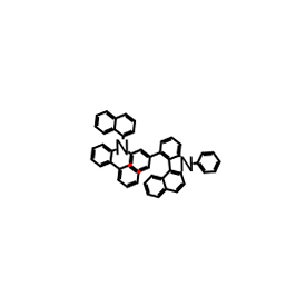 c1ccc(-c2ccccc2N(c2cccc(-c3cccc4c3c3c5ccccc5ccc3n4-c3ccccc3)c2)c2cccc3ccccc23)cc1